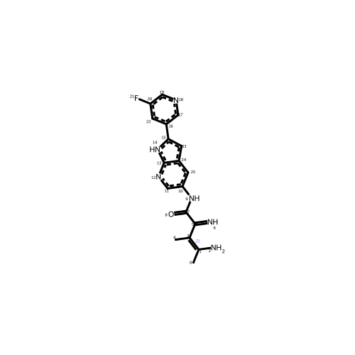 C/C(N)=C(\C)C(=N)C(=O)Nc1cnc2[nH]c(-c3cncc(F)c3)cc2c1